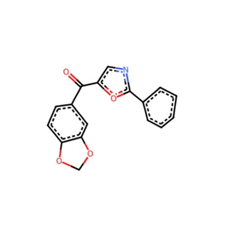 O=C(c1ccc2c(c1)OCO2)c1cnc(-c2ccccc2)o1